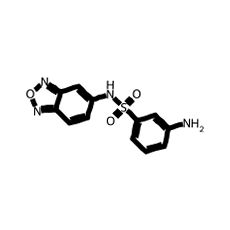 Nc1cccc(S(=O)(=O)Nc2ccc3nonc3c2)c1